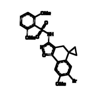 COc1cc2c(cc1Br)C1(CC1)Cc1c(NS(=O)(=O)c3c(OC)cccc3OC)noc1-2